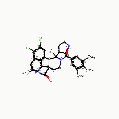 CCC1(C2CCNC2)C(c2ccc(Cl)c(Cl)c2)C(C(N)=O)(c2cccc(OC)c2)CCN1C(=O)c1cc(OC)c(OC)c(OC)c1